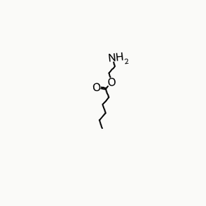 CCCCCC(=O)OCCN